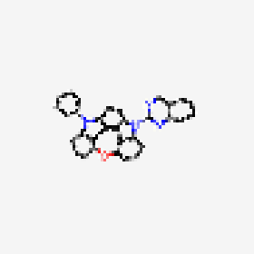 c1ccc(-n2c3cccc4oc5cccc6c5c5c(c43)c2ccc5n6-c2ncc3ccccc3n2)cc1